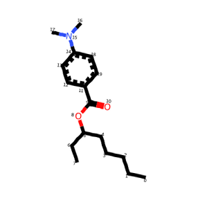 CCCCCC(CC)OC(=O)c1ccc(N(C)C)cc1